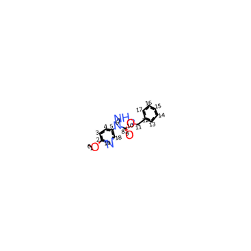 COc1ccc(N(N)C(=O)OCc2ccccc2)cn1